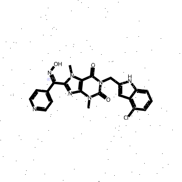 Cn1c(/C(=N\O)c2ccncc2)nc2c1c(=O)n(Cc1cc3c(Cl)cccc3[nH]1)c(=O)n2C